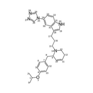 CC(C)Oc1ccc(CC2C=CCCN2CCCc2c[nH]c3ccc(-n4cnnc4)cc23)cc1